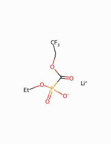 CCOP(=O)([O-])C(=O)OCC(F)(F)F.[Li+]